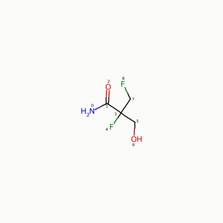 NC(=O)C(F)(CO)CF